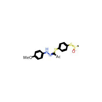 COc1ccc(NN=C(Sc2ccc(S[S+](C)[O-])cc2)C(C)=O)cc1